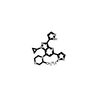 CC1COCCN1c1cc(-c2ccnn2C)nc2c(-c3ccn[nH]3)nn(C3CC3)c12